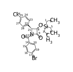 CC[Si](CC)(CC)O[C@H]1C(=O)N(C(=O)c2ccc(Br)cc2)[C@H]1c1ccc(Cl)cc1